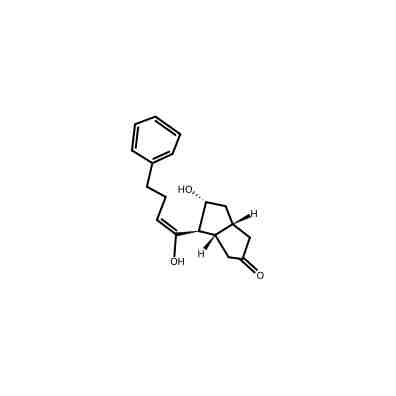 O=C1C[C@H]2C[C@@H](O)[C@H](/C(O)=C\CCc3ccccc3)[C@H]2C1